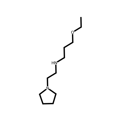 CCOCCCNCCN1CCCC1